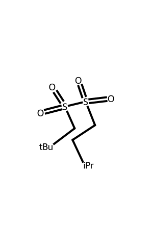 CC(C)CCS(=O)(=O)S(=O)(=O)CC(C)(C)C